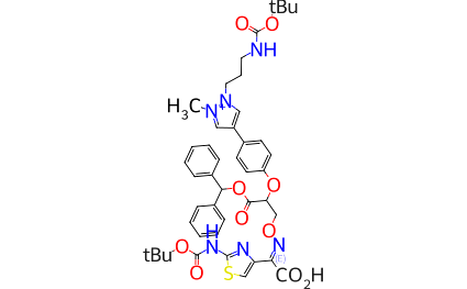 C[n+]1cc(-c2ccc(OC(CO/N=C(/C(=O)O)c3csc(NC(=O)OC(C)(C)C)n3)C(=O)OC(c3ccccc3)c3ccccc3)cc2)cn1CCCNC(=O)OC(C)(C)C